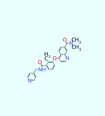 Cc1c(Oc2ccnc3cc(C(=O)N(C)C)ccc23)cccc1C(=O)NCc1ccncc1